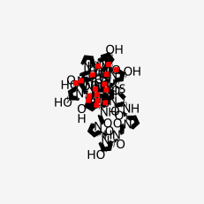 CSCC[C@H](NC(=O)[C@@H]1CCCN1C(=O)CNC(=O)[C@@H]1C[C@@H](O)CN1C(=O)[C@@H]1CCCN1C(=O)CNC(=O)[C@@H]1C[C@@H](O)CN1C(=O)[C@@H]1CCCN1C(=O)CNC(=O)[C@@H]1C[C@@H](O)CN1C(=O)[C@@H]1CCCN1C(=O)CNC(=O)[C@@H]1C[C@@H](O)CN1C(=O)[C@@H]1CCCN1C(=O)CNC(=O)[C@@H]1C[C@@H](O)CN1C(=O)[C@@H]1CCCN1)C(=O)NCC(=O)N1CCC[C@H]1C(=O)N1C[C@H](O)C[C@H]1C(=O)O